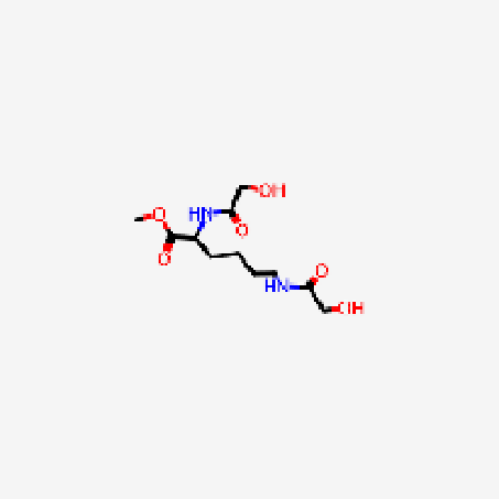 COC(=O)C(CCCCNC(=O)CO)NC(=O)CO